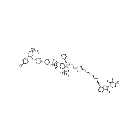 CC1(C)CCC(c2ccc(Cl)cc2)=C(CN2CCN(c3ccc(C(=O)NS(=O)(=O)c4ccc(N[C@H](CCN5CCN(CCCCCCCC#Cc6cccc7c6CN(C6CCC(=O)NC6=O)C7=O)CC5)CSc5ccccc5)c(S(=O)(=O)C(F)(F)F)c4)cc3)CC2)C1